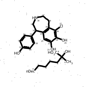 CCCCCCCCCCCCCCC(C)(O)C(=O)O.Oc1ccc(C2CNCCc3c2cc(O)c(O)c3Cl)cc1